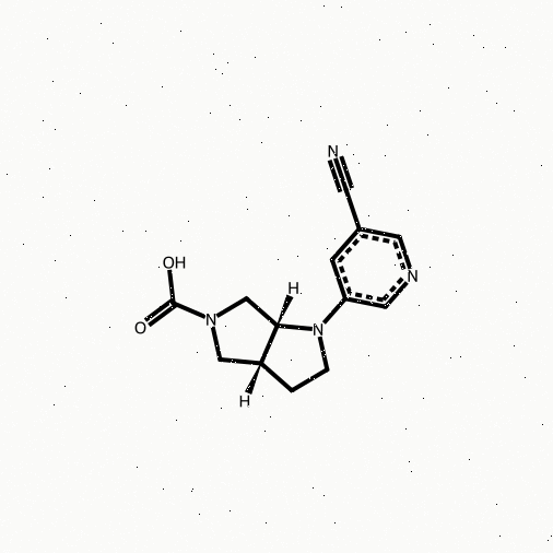 N#Cc1cncc(N2CC[C@@H]3CN(C(=O)O)C[C@@H]32)c1